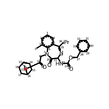 Cc1cccc2c1N(CC(=O)N1CC3CCC(CC3)C1)C(=O)C(NC(=O)OCc1ccccc1)N=C2C(C)C